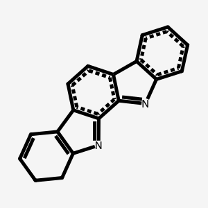 C1=CC2=C(CC1)N=c1c2ccc2c1=Nc1ccccc1-2